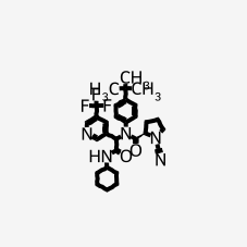 CC(C)(C)c1ccc(N(C(=O)[C@H]2CCCN2C#N)C(C(=O)NC2CCCCC2)c2cncc(C(F)(F)F)c2)cc1